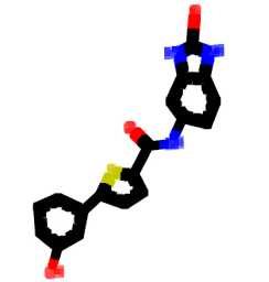 O=C(Nc1ccc2[nH]c(=O)[nH]c2c1)c1ccc(-c2cccc(O)c2)s1